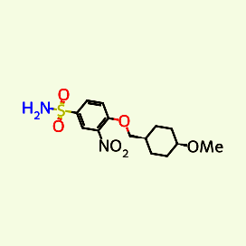 CO[C@H]1CC[C@@H](COc2ccc(S(N)(=O)=O)cc2[N+](=O)[O-])CC1